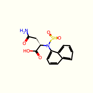 NC(=O)C[C@@H](C(=O)O)N(c1cccc2ccccc12)[SH](=O)=O